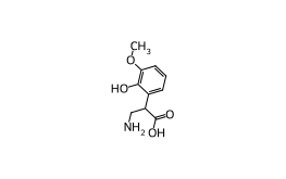 COc1cccc(C(CN)C(=O)O)c1O